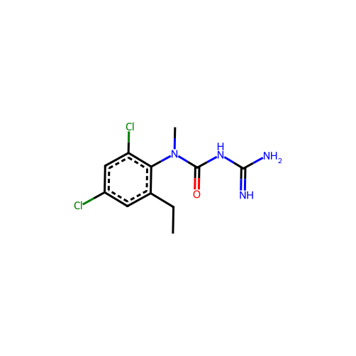 CCc1cc(Cl)cc(Cl)c1N(C)C(=O)NC(=N)N